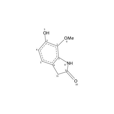 COc1c(O)ccc2c1NC(=O)C2